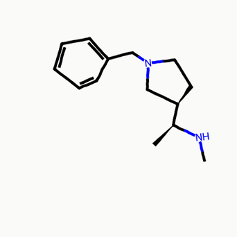 CN[C@@H](C)[C@@H]1CCN(Cc2ccccc2)C1